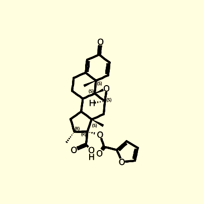 C[C@@H]1CC2C3CCC4=CC(=O)C=C[C@]4(C)[C@@]34O[C@H]4C[C@]2(C)[C@@]1(OC(=O)c1ccco1)C(=O)O